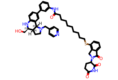 O=C1CCC(N2Cc3c(SCCCCCCCCCC(=O)Nc4cccc(-c5ccc6c(c5)[C@H]5[C@H](CCN5Cc5ccncc5)[C@@H](CO)N6)c4)cccc3C2=O)C(=O)N1